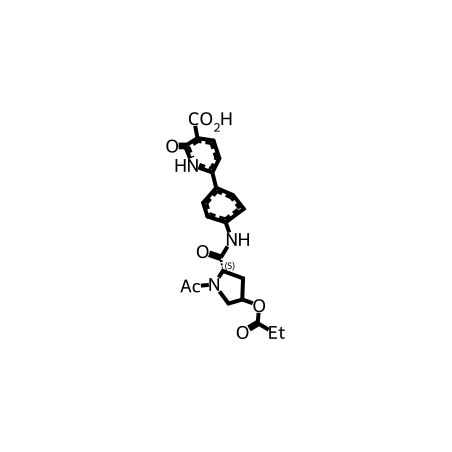 CCC(=O)OC1C[C@@H](C(=O)Nc2ccc(-c3ccc(C(=O)O)c(=O)[nH]3)cc2)N(C(C)=O)C1